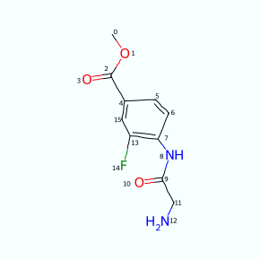 COC(=O)c1ccc(NC(=O)CN)c(F)c1